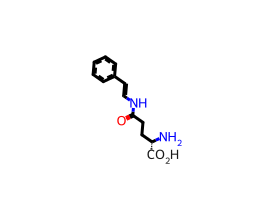 N[C@@H](CCC(=O)NC=Cc1ccccc1)C(=O)O